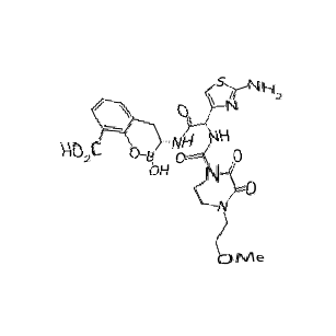 COCCN1CCN(C(=O)NC(C(=O)N[C@H]2Cc3cccc(C(=O)O)c3OB2O)c2csc(N)n2)C(=O)C1=O